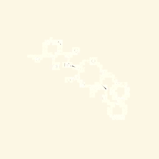 COc1ccnc(C(=O)N[C@H]2COC[C@H](Cc3ccccc3)[C@@H](COc3ccccc3)[C@H](C)OC2=O)c1O